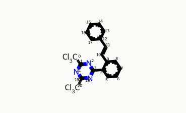 ClC(Cl)(Cl)c1nc(-c2ccccc2C=Cc2ccccc2)nc(C(Cl)(Cl)Cl)n1